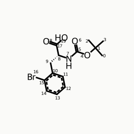 CC(C)(C)OC(=O)N[C@H](Cc1ccccc1Br)C(=O)O